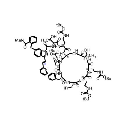 CNC(=O)c1ccccc1Sc1ccc2c(/C=C/c3ccccn3)nn(C(=O)N[C@H](C(=O)N[C@@H](CCNC(=O)OC(C)(C)C)C(=O)N[C@H]3CCNC(=O)[C@H]([C@@H](C)O)NC(=O)[C@H](CCNC(=O)OC(C)(C)C)NC(=O)[C@H](CCNC(=O)OC(C)(C)C)NC(=O)[C@H](CC(C)C)NC(=O)[C@@H](Cc4ccccc4)NC(=O)[C@H](CCNC(=O)OC(C)(C)C)NC3=O)[C@@H](C)O)c2c1